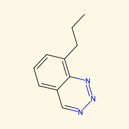 CCCc1cccc2cnnnc12